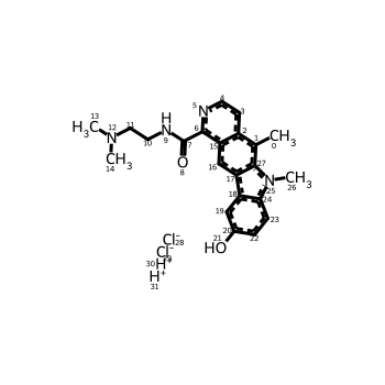 Cc1c2ccnc(C(=O)NCCN(C)C)c2cc2c3cc(O)ccc3n(C)c12.[Cl-].[Cl-].[H+].[H+]